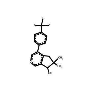 CC1(C)Cc2c(-c3ccc(C(F)(F)F)cc3)cncc2C1O